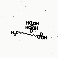 CCCCCCCCCCCCOC(=O)O.O=C(O)O.O=C(O)O